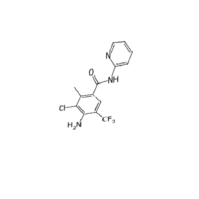 Cc1c(C(=O)Nc2ccccn2)cc(C(F)(F)F)c(N)c1Cl